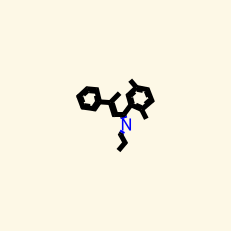 CCC/N=C(\C=C(/C)c1ccccc1)c1cc(C)ccc1C